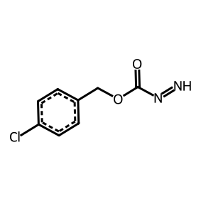 N=NC(=O)OCc1ccc(Cl)cc1